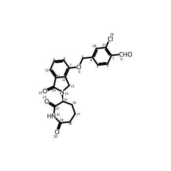 O=Cc1ccc(COc2cccc3c2CN([C@H]2CCCC(=O)NC2=O)C3=O)cc1Cl